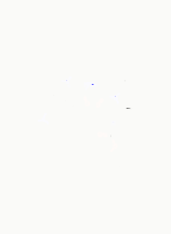 CCOC(=O)/C(C)=C/[C@H](C(C)C)N(C)C(=O)[C@@H](NC(=O)[C@@H](N(C)C)C(C)(C)c1cn(C)c2ccccc12)C(C)C